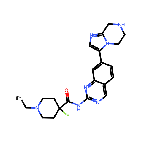 CC(C)CN1CCC(F)(C(=O)Nc2ncc3ccc(-c4cnc5n4CCNC5)cc3n2)CC1